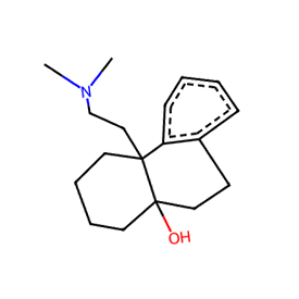 CN(C)CCC12CCCCC1(O)CCc1ccccc12